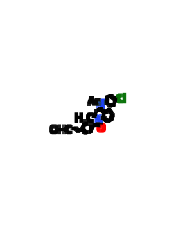 CC(=O)N(c1ccc(Cl)cc1)C1CC(C)N(C(=O)c2ccc(C=CC=O)cc2)c2ccccc21